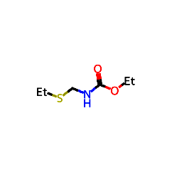 CCOC(=O)NCSCC